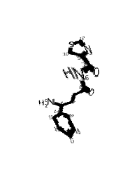 NC(CCC(=O)NC(=O)C1CSC=N1)c1ccccc1